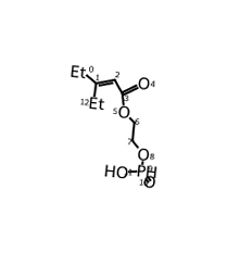 CCC(=CC(=O)OCCO[PH](=O)O)CC